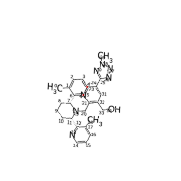 Cc1cccnc1[C@H]1CCC[C@@H](c2ncccc2C)N1Cc1ccc(-c2nnn(C)n2)cc1CO